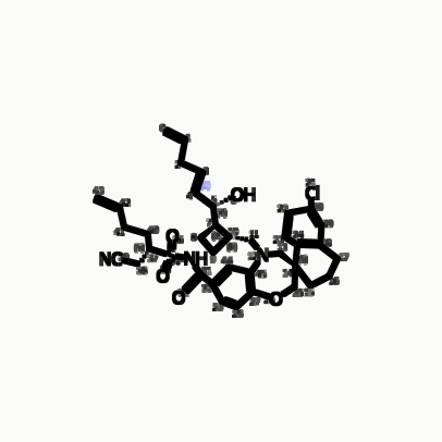 C=CC/C=C/[C@H](O)[C@@H]1CC[C@H]1CN1C[C@@]2(CCCc3cc(Cl)ccc32)COc2ccc(C(=O)NS(=O)(=O)[C@H](CC#N)CCC=C)cc21